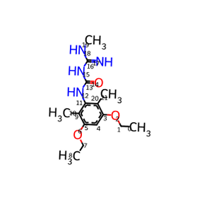 CCOc1cc(OCC)c(C)c(NC(=O)NC(=N)NC)c1C